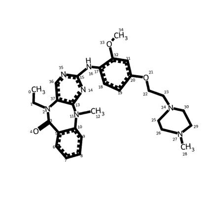 CCN1C(=O)c2ccccc2N(C)c2nc(Nc3ccc(OCCN4CCN(C)CC4)cc3OC)ncc21